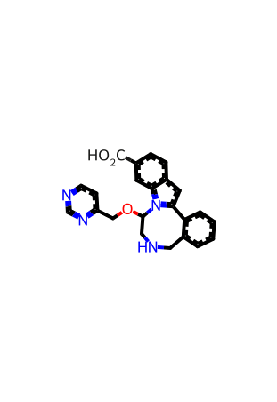 O=C(O)c1ccc2cc3n(c2c1)C(OCc1ccncn1)CNCc1ccccc1-3